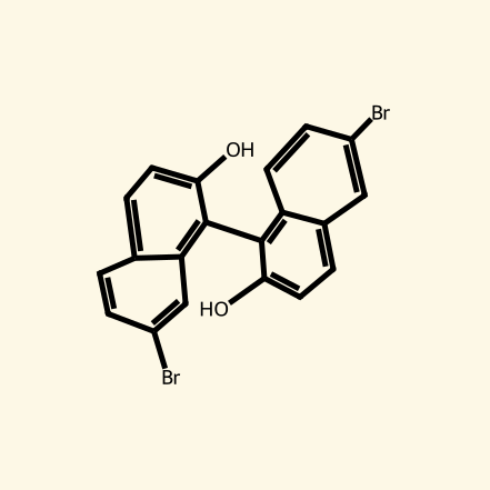 Oc1ccc2cc(Br)ccc2c1-c1c(O)ccc2ccc(Br)cc12